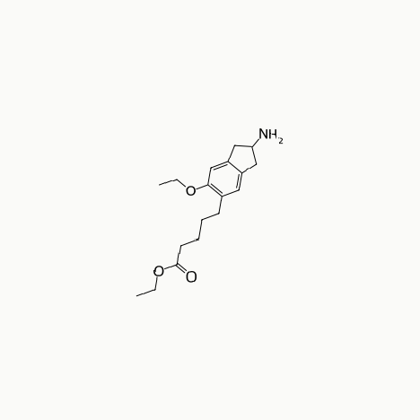 CCOC(=O)CCCCc1cc2c(cc1OCC)CC(N)C2